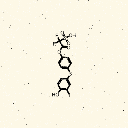 O=C(Oc1ccc(Sc2ccc(O)c(I)c2)cc1)C(F)(F)S(=O)(=O)O